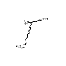 CCCCCC=CCC=C(CC=CCCCCCCC(=O)O)[N+](=O)[O-]